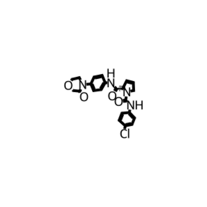 O=C(Nc1ccc(N2CCOCC2=O)cc1)[C@H]1C=CCN1C(=O)Nc1ccc(Cl)cc1